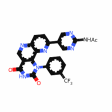 CC(=O)Nc1ncc(-c2ccc3ncc4c(=O)[nH]c(=O)n(-c5cccc(C(F)(F)F)c5)c4c3n2)cn1